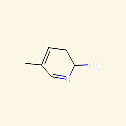 CC1=CCC(N)N=C1